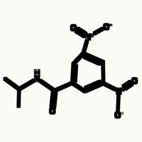 CC(C)NC(=O)c1cc([N+](=O)[O-])cc([N+](=O)[O-])c1